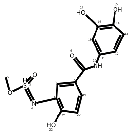 CO[SH](=O)=Nc1cc(C(=O)Nc2ccc(O)c(O)c2)ccc1O